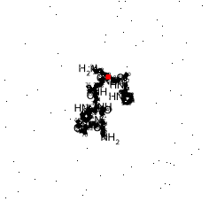 CCC[C@H](Cc1c[nH]c2ccccc12)NC(=O)CC[C@H](CCCCN)NC(=O)CCC(NC(=O)CC[C@H](Cc1c[nH]c2ccccc12)NC(=O)CC[C@H](CCCCN)NC(=O)CC[C@@H](NC(C)=O)C(C)C)C(C)C